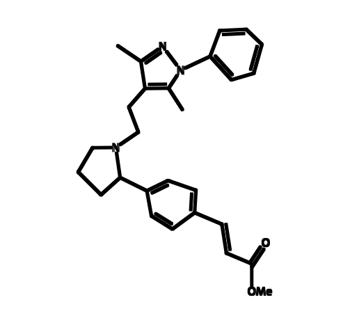 COC(=O)/C=C/c1ccc(C2CCCN2CCc2c(C)nn(-c3ccccc3)c2C)cc1